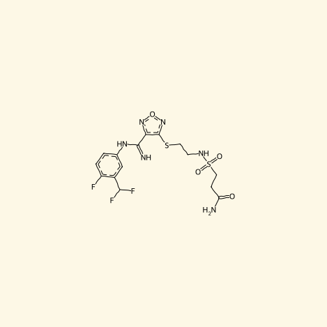 N=C(Nc1ccc(F)c(C(F)F)c1)c1nonc1SCCNS(=O)(=O)CCC(N)=O